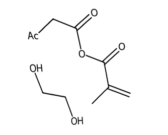 C=C(C)C(=O)OC(=O)CC(C)=O.OCCO